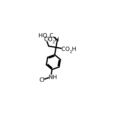 O=C(O)CC(CC(=O)O)(C(=O)O)c1ccc(NCl)cc1